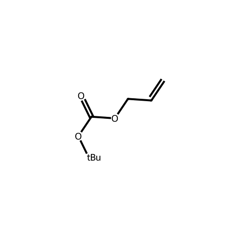 C=CCOC(=O)OC(C)(C)C